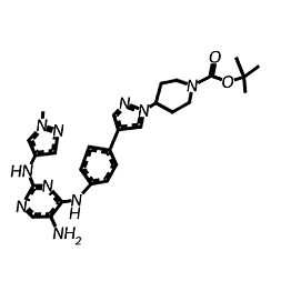 Cn1cc(Nc2ncc(N)c(Nc3ccc(-c4cnn(C5CCN(C(=O)OC(C)(C)C)CC5)c4)cc3)n2)cn1